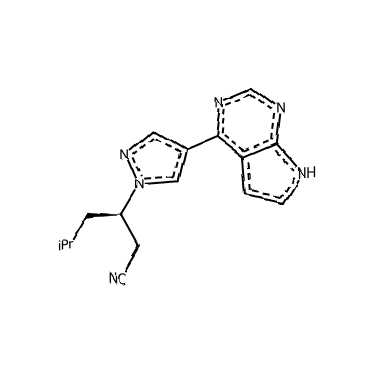 CC(C)C[C@H](CC#N)n1cc(-c2ncnc3[nH]ccc23)cn1